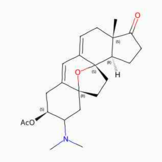 CC(=O)O[C@H]1CC2=CC3=CC[C@]4(C)C(=O)CC[C@H]4[C@@]34CC[C@]2(CC1N(C)C)O4